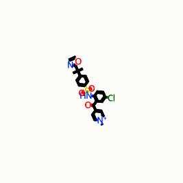 C[n+]1ccc(C(=O)c2cc(Cl)ccc2NS(=O)(=O)c2ccc(C(C)(C)c3ncco3)cc2)cc1